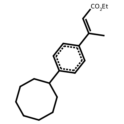 CCOC(=O)C=C(C)c1ccc(C2CCCCCCC2)cc1